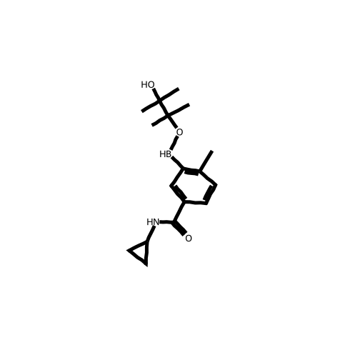 Cc1ccc(C(=O)NC2CC2)cc1BOC(C)(C)C(C)(C)O